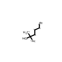 CC(=O)C(C)(O)CCCC(C)C